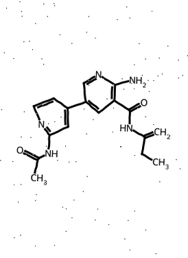 C=C(CC)NC(=O)c1cc(-c2ccnc(NC(C)=O)c2)cnc1N